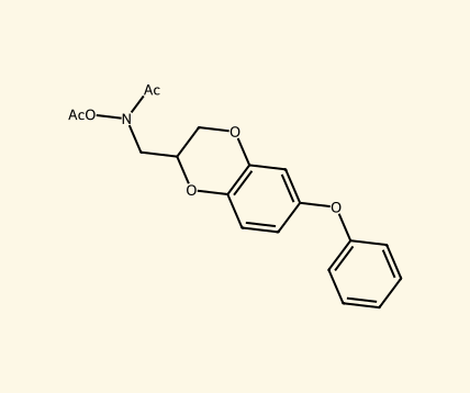 CC(=O)ON(CC1COc2cc(Oc3ccccc3)ccc2O1)C(C)=O